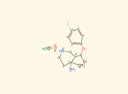 CCC(Oc1ccc(F)cc1)C1CNCCC1(C)N.Cl.Cl.O